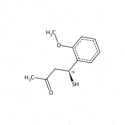 COc1ccccc1[C@@H](S)CC(C)=O